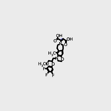 COCC(CN1CCOc2cc3c(c(C)c21)CCN(/C(=C\C(=O)O)C(=O)O)CC3)Oc1cc(F)c(F)c(F)c1